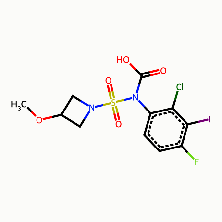 COC1CN(S(=O)(=O)N(C(=O)O)c2ccc(F)c(I)c2Cl)C1